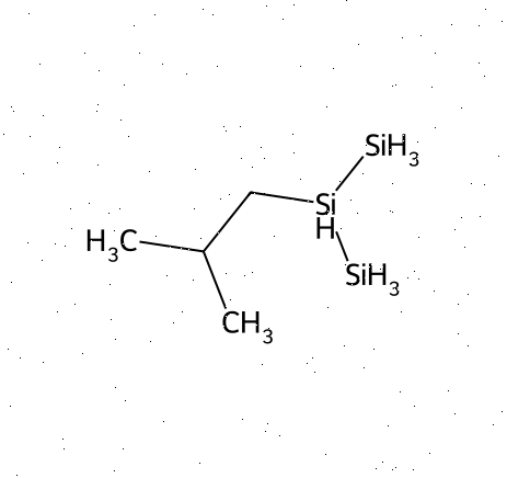 CC(C)C[SiH]([SiH3])[SiH3]